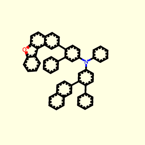 c1ccc(-c2ccc(N(c3ccccc3)c3ccc(-c4ccc5ccc6oc7ccccc7c6c5c4)c(-c4ccccc4)c3)cc2-c2ccc3ccccc3c2)cc1